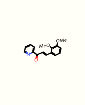 COc1cccc(C=CC(=O)c2ccccn2)c1OC